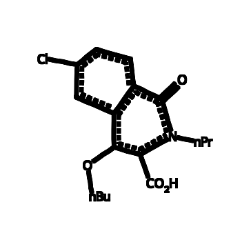 CCCCOc1c(C(=O)O)n(CCC)c(=O)c2ccc(Cl)cc12